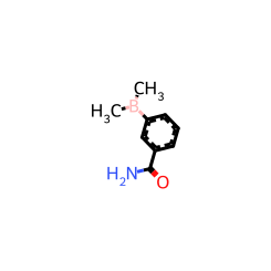 CB(C)c1cccc(C(N)=O)c1